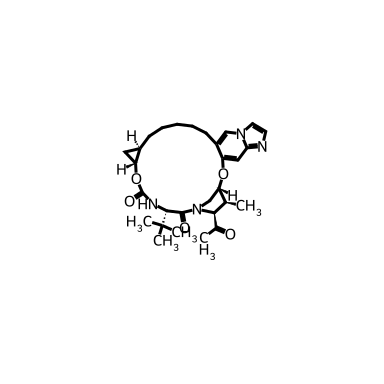 CC(=O)[C@@H]1[C@H](C)[C@@H]2CN1C(=O)[C@H](C(C)(C)C)NC(=O)O[C@@H]1C[C@H]1CCCCCc1cn3ccnc3cc1O2